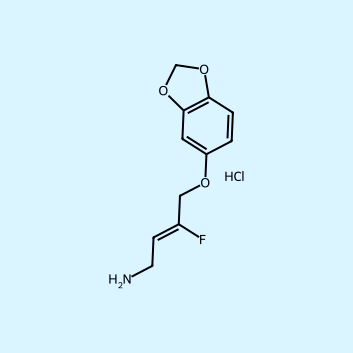 Cl.NC/C=C(\F)COc1ccc2c(c1)OCO2